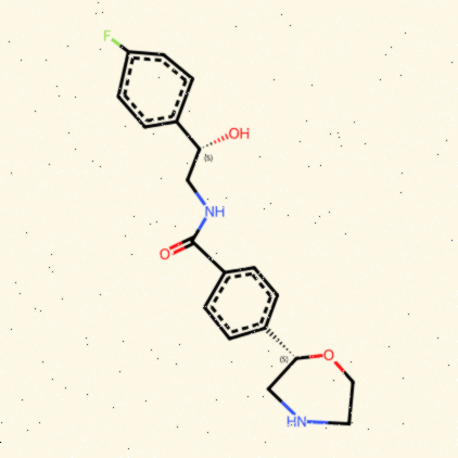 O=C(NC[C@@H](O)c1ccc(F)cc1)c1ccc([C@H]2CNCCO2)cc1